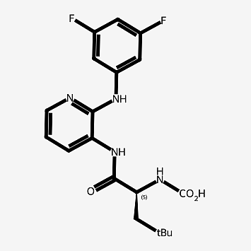 CC(C)(C)C[C@H](NC(=O)O)C(=O)Nc1cccnc1Nc1cc(F)cc(F)c1